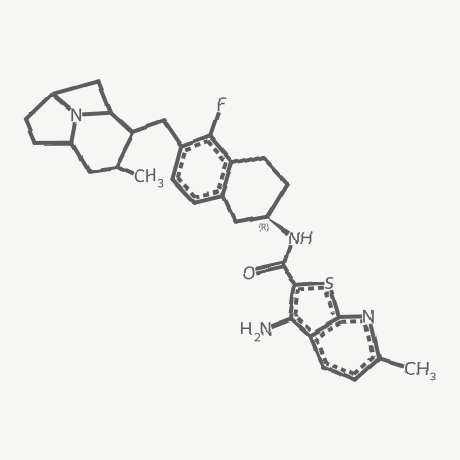 Cc1ccc2c(N)c(C(=O)N[C@@H]3CCc4c(ccc(CC5C(C)CC6CCC7CC5N67)c4F)C3)sc2n1